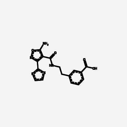 Nc1onc(-c2nccs2)c1C(=O)NCCc1cccc(C(=O)O)c1